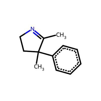 CC1=NCCC1(C)c1ccccc1